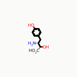 N[C@H](Cc1ccc(O)cc1)[C@H](O)C(=O)O